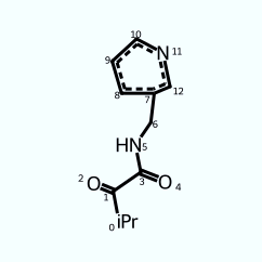 CC(C)C(=O)C(=O)NCc1cccnc1